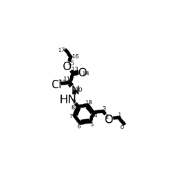 CCOCc1cccc(N/N=C(\Cl)C(=O)OCC)c1